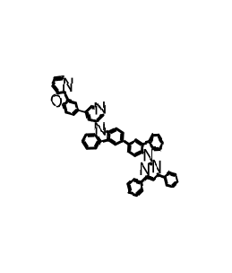 c1ccc(-c2cc(-c3ccccc3)nc(-n3c4ccccc4c4cc(-c5ccc6c(c5)c5ccccc5n6-c5cncc(-c6ccc7oc8cccnc8c7c6)c5)ccc43)n2)cc1